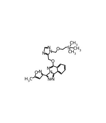 Cc1cc(-c2nnc3c4ccccc4c(OCc4ncnn4COCC[Si](C)(C)C)nn23)no1